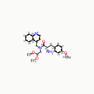 CCOC(CN(Cc1ccnc2ccccc12)C(=O)[C@@H](N)Cc1ccc(OC(C)(C)C)cc1)OCC